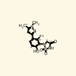 Cc1cc(-c2ccc(O)c(N3CC(=O)NS3(=O)=O)c2F)nn1C